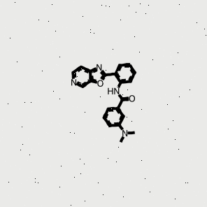 CN(C)c1cccc(C(=O)Nc2ccccc2-c2nc3ccncc3o2)c1